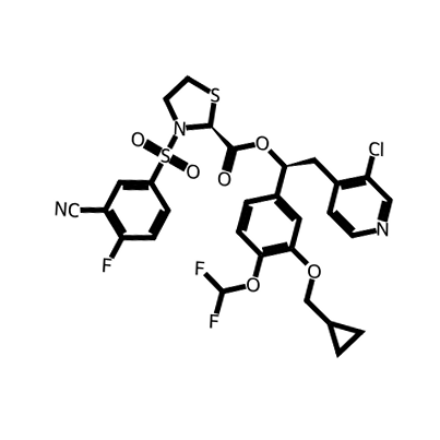 N#Cc1cc(S(=O)(=O)N2CCS[C@H]2C(=O)O[C@@H](Cc2ccncc2Cl)c2ccc(OC(F)F)c(OCC3CC3)c2)ccc1F